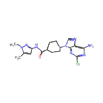 Cc1cc(NC(=O)C2CCC(n3cnc4c(N)nc(Cl)nc43)CC2)nn1C